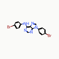 Brc1ccc(Nc2ncnc3c2ncn3-c2ccc(Br)cc2)cc1